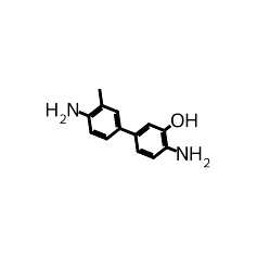 Cc1cc(-c2ccc(N)c(O)c2)ccc1N